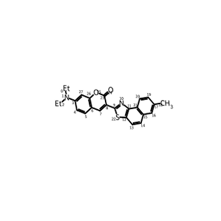 CCN(CC)c1ccc2cc(-c3nc4c(ccc5cc(C)ccc54)s3)c(=O)oc2c1